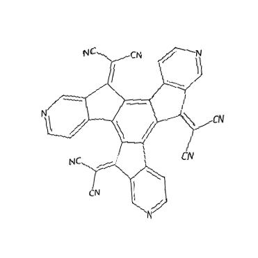 N#CC(C#N)=C1c2cnccc2-c2c1c1c(c3c2C(=C(C#N)C#N)c2cnccc2-3)C(=C(C#N)C#N)c2cnccc2-1